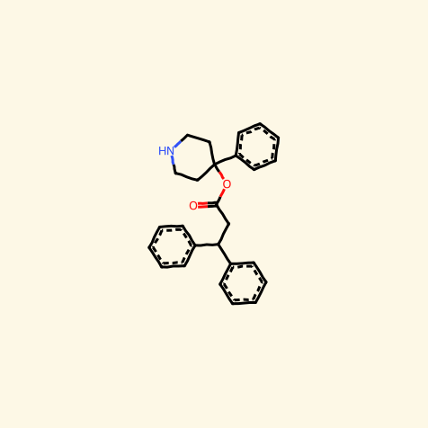 O=C(CC(c1ccccc1)c1ccccc1)OC1(c2ccccc2)CCNCC1